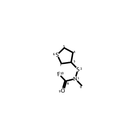 CN(SC1CCSC1)C(=O)F